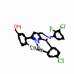 COc1ccc(CO)cc1-c1cc2c(n1C(C)C)C(c1ccc(Cl)cc1C)N(c1cccc(Cl)c1F)C2